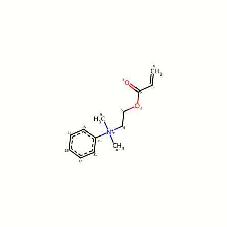 C=CC(=O)OCC[N+](C)(C)c1ccccc1